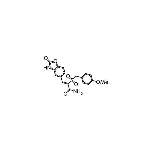 COc1ccc(CS(=O)(=O)/C(=C\c2ccc3oc(=O)[nH]c3c2)C(N)=O)cc1